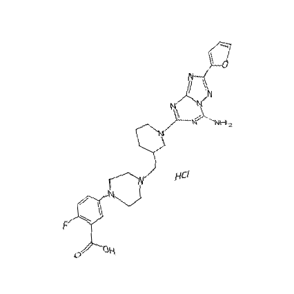 Cl.Nc1nc(N2CCCC(CN3CCN(c4ccc(F)c(C(=O)O)c4)CC3)C2)nc2nc(-c3ccco3)nn12